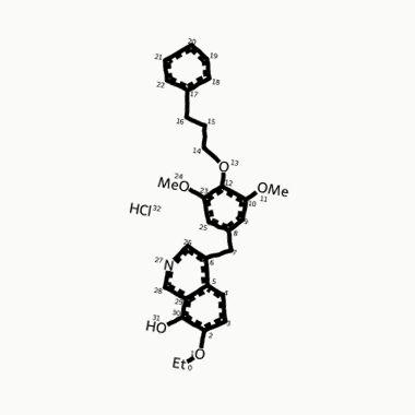 CCOc1ccc2c(Cc3cc(OC)c(OCCCc4ccccc4)c(OC)c3)cncc2c1O.Cl